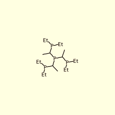 CCP(CC)C(C)P(C(C)P(CC)CC)C(C)P(CC)CC